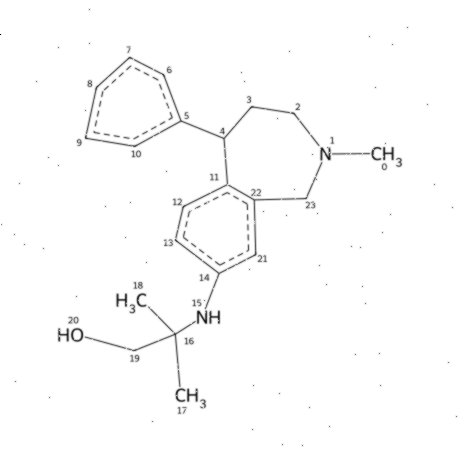 CN1CCC(c2ccccc2)c2ccc(NC(C)(C)CO)cc2C1